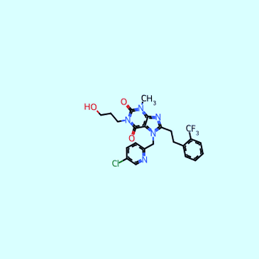 Cn1c(=O)n(CCCO)c(=O)c2c1nc(CCc1ccccc1C(F)(F)F)n2Cc1ccc(Cl)cn1